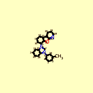 Cc1cccc(N2CN(c3cccc4c3oc3ncccc34)c3ccccc32)c1